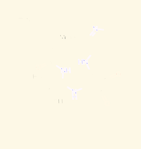 COc1ncccc1Nc1c(NC(NC(=O)c2cccc(C)c2)C(C)(C)Cc2ccccc2)c(=O)c1=O